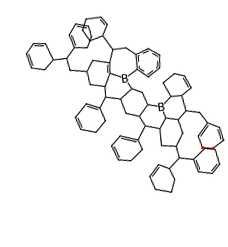 C1=CCCC(C(CC2CC3=C4B(c5ccccc5CC3C3C=CCCC3)C3CC5B6C7CCC=CC7C(CC7=CCCC=C7)C7CC(C(C8=CC=CCC8)C8C=CCCC8)CC(C67)C(C6=CC=CCC6)C5CC3C(C3=CC=CCC3)C4C2)C2C=CC=CC2)=C1